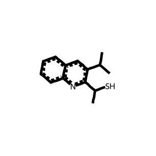 CC(C)c1cc2ccccc2nc1C(C)S